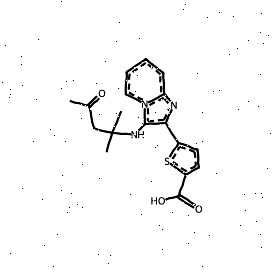 CC(=O)CC(C)(C)Nc1c(-c2ccc(C(=O)O)s2)nc2ccccn12